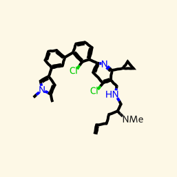 C=CCCC(CNCc1c(Cl)cc(-c2cccc(-c3cccc(-c4cc(C)n(C)c4)c3)c2Cl)nc1C1CC1)NC